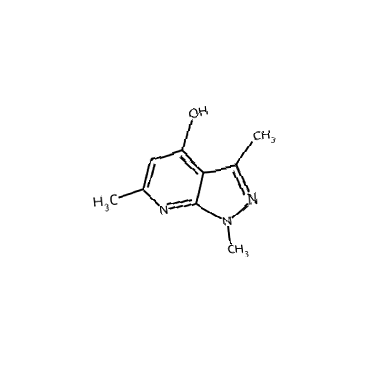 Cc1cc(O)c2c(C)nn(C)c2n1